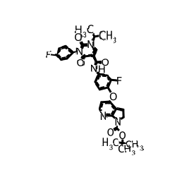 CC(C)n1cc(C(=O)Nc2ccc(Oc3ccnc4c3CCN4C(=O)OC(C)(C)C)c(F)c2)c(=O)n(-c2ccc(F)cc2)c1=O